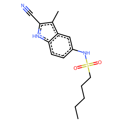 CCCCCS(=O)(=O)Nc1ccc2[nH]c(C#N)c(C)c2c1